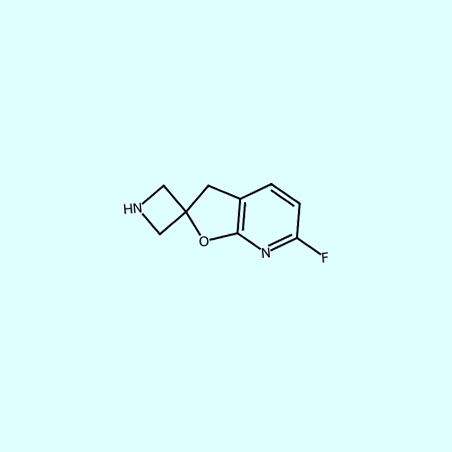 Fc1ccc2c(n1)OC1(CNC1)C2